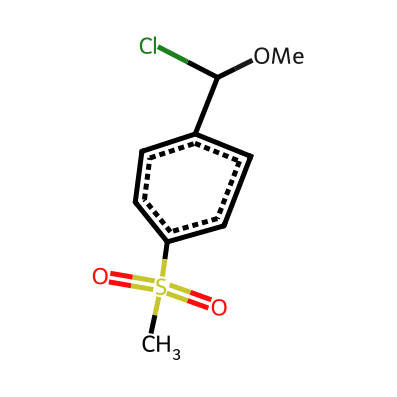 COC(Cl)c1ccc(S(C)(=O)=O)cc1